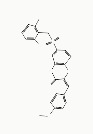 COc1ccc(/C=C2/Sc3ccc(S(=O)(=O)Cc4c(Br)cccc4Br)cc3NC2=O)cc1